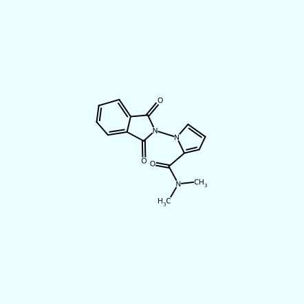 CN(C)C(=O)c1cccn1N1C(=O)c2ccccc2C1=O